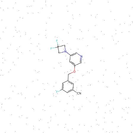 N#Cc1cc(F)cc(COc2cncc(N3CC(F)(F)C3)c2)c1